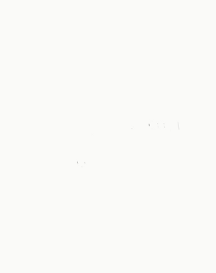 C=C(C(=O)O)C(C)C1CCOC1